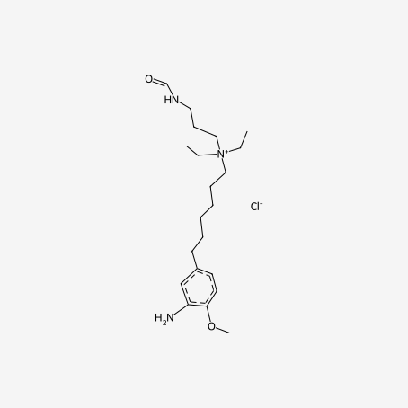 CC[N+](CC)(CCCCCCc1ccc(OC)c(N)c1)CCCNC=O.[Cl-]